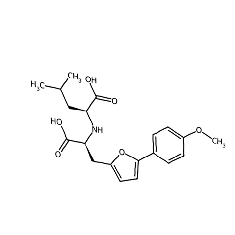 COc1ccc(-c2ccc(C[C@H](N[C@@H](CC(C)C)C(=O)O)C(=O)O)o2)cc1